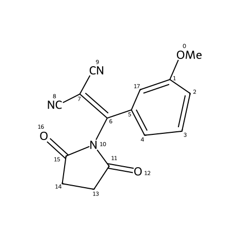 COc1cccc(C(=C(C#N)C#N)N2C(=O)CCC2=O)c1